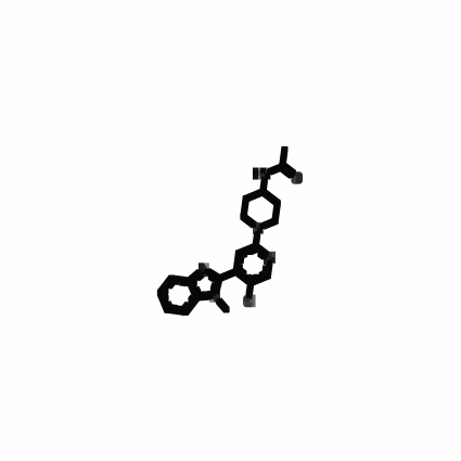 CC(=O)NC1CCN(c2cc(-c3nc4ccccc4n3C)c(Cl)cn2)CC1